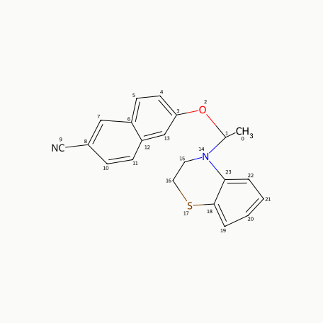 CC(Oc1ccc2cc(C#N)ccc2c1)N1CCSc2ccccc21